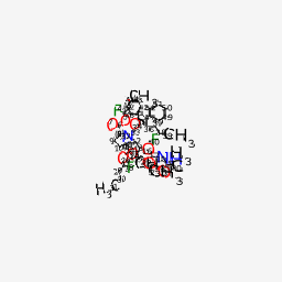 CCCC(F)OC(=O)[C@H]1CC[C@@](CC(CC)OC(NC(C)=O)OC)(C(=O)OC(F)CCC)N1CO[Si](CCC(C)F)(c1ccccc1)c1ccccc1